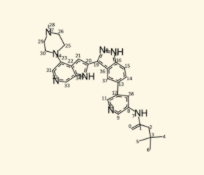 C=C(CC(C)(C)C)Nc1cncc(-c2ccc3[nH]nc(-c4cc5c(N6CCN(C)CC6)cncc5[nH]4)c3c2)c1